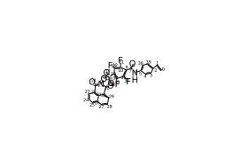 C=Cc1ccc(NC(=O)c2c(F)c(F)c(S(=O)(=O)ON3C(=O)c4cccc5cccc(c45)C3=O)c(F)c2F)cc1